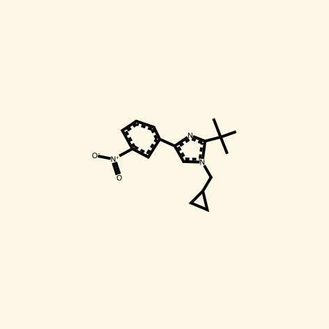 CC(C)(C)c1nc(-c2cccc([N+](=O)[O-])c2)cn1CC1CC1